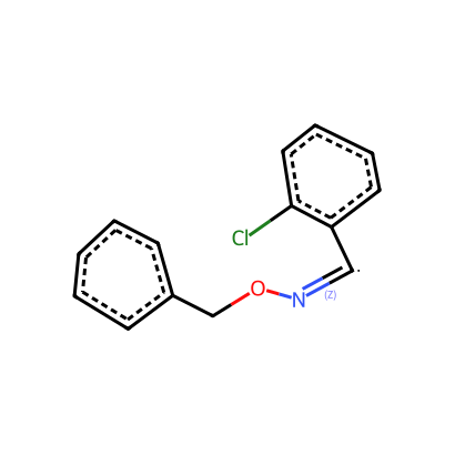 Clc1ccccc1/[C]=N\OCc1ccccc1